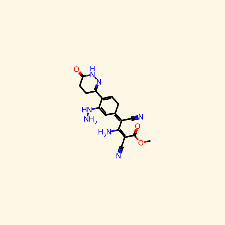 COC(=O)C(C#N)=C(N)C(C#N)=C1C=C(NN)C(C2=NNC(=O)CC2)=CC1